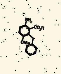 COc1ccc(N)c(C(=O)O)c1Cc1ccccc1